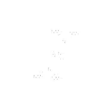 CNC(=O)CCN(CCCCC1NC(=O)C(CCCCN(CCC(=O)NC)CCC(=O)NC)NC1=O)CCC(=O)NC